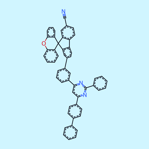 N#Cc1ccc2c(c1)C1(c3ccccc3Oc3ccccc31)c1cc(-c3cccc(-c4cc(-c5ccc(-c6ccccc6)cc5)nc(-c5ccccc5)n4)c3)ccc1-2